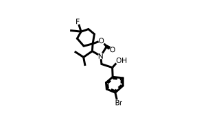 CC(C)C1N(CC(O)c2ccc(Br)cc2)C(=O)OC12CCC(C)(F)CC2